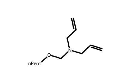 C=CCN(CC=C)COCCCCC